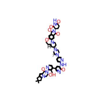 C[C@@H]1CN([C@H]2CCN3c4cc5c(cc4OCC[C@@H]3C2)C(=O)N(C2CCC(=O)NC2=O)C5=O)CCN1c1ccc(Nc2cc(-c3ccnc(N4CCn5c(cc6c5CC(C)(C)C6)C4=O)c3CO)cn(C)c2=O)nc1